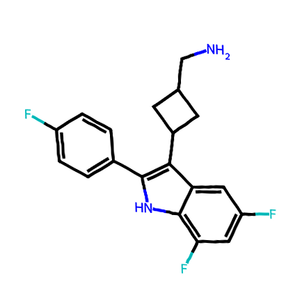 NCC1CC(c2c(-c3ccc(F)cc3)[nH]c3c(F)cc(F)cc23)C1